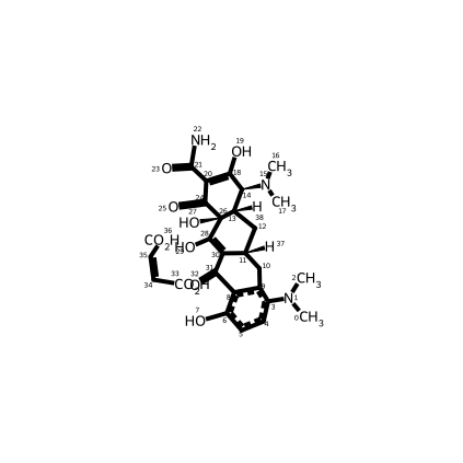 CN(C)c1ccc(O)c2c1C[C@H]1C[C@H]3[C@H](N(C)C)C(O)=C(C(N)=O)C(=O)[C@@]3(O)C(O)=C1C2=O.O=C(O)/C=C\C(=O)O